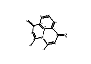 C=c1cc(C)n2c(C)cc(=O)c3cccc1c32